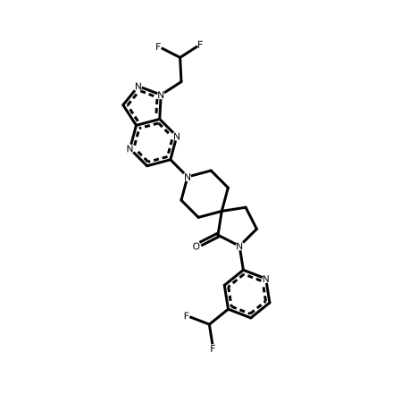 O=C1N(c2cc(C(F)F)ccn2)CCC12CCN(c1cnc3cnn(CC(F)F)c3n1)CC2